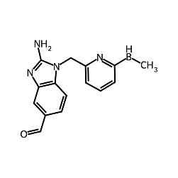 CBc1cccc(Cn2c(N)nc3cc(C=O)ccc32)n1